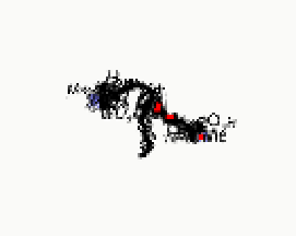 C#CCOCCOCCOCCOCCC(=O)N(CC(=O)NCCn1cc(CCC(=O)N[C@H]([C@@H]2N[C@@H](C(=O)O)C[C@H]2/C=C\C)C(C)(CCC)OC)nn1)CC(=O)NCCn1cc(CCC(=O)N[C@H]([C@@H]2N[C@@H](C(=O)O)C[C@H]2/C=C\C)[C@](C)(CCC)OC)nn1